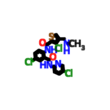 CNCc1csc(C(=O)Nc2ccc(Cl)cc2C(=O)Nc2ccc(Cl)cn2)c1Cl